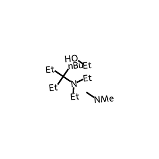 CCCCC(CC)(CC)N(CC)CC.CCO.CNC